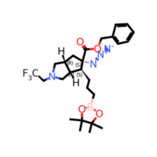 CC1(C)OB(CCC[C@H]2[C@@H]3CN(CC(F)(F)F)C[C@@H]3C[C@@]2(N=[N+]=[N-])C(=O)OCc2ccccc2)OC1(C)C